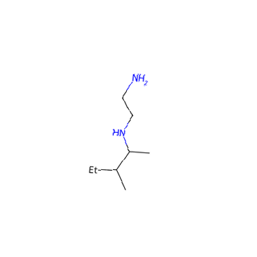 CCC(C)C(C)NCCN